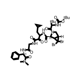 CN(C)C(=O)[C@@H](NC(=O)CNC(=O)C(=O)C(CC1CC1)NC(=O)[C@@H]1C2[C@H](CN1C(=O)C(NC(=O)OC(C)(C)C)C(C)(C)C)C2(Br)Br)c1ccccc1